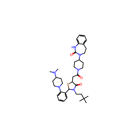 CN(C)C1CCN(c2ccccc2C2SC(CC(=O)N3CCC(N4CCc5ccccc5NC4=O)CC3)C(=O)N2CCC(C)(C)C)CC1